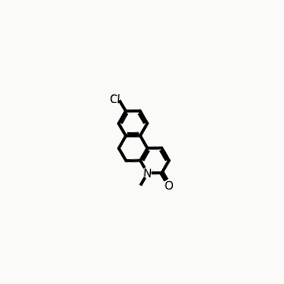 Cn1c2c(ccc1=O)-c1ccc(Cl)cc1CC2